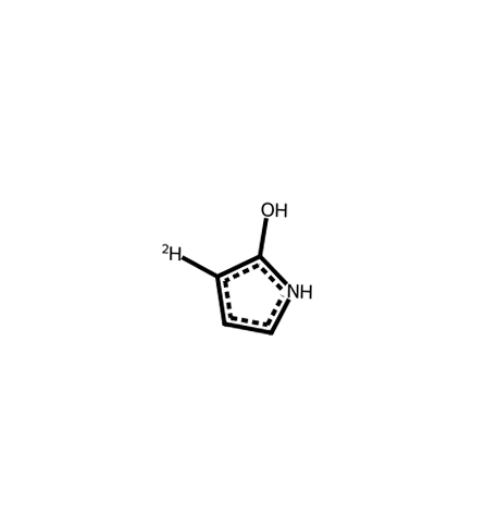 [2H]c1cc[nH]c1O